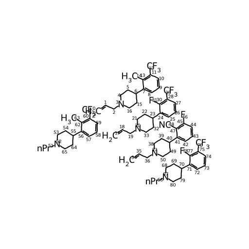 C=CCN1CCC(c2cccc(C(F)(F)F)c2C)CC1.C=CCN1CCC(c2cccc(C(F)(F)F)c2F)CC1.C=CCN1CCC(c2cccc(F)c2C#N)CC1.CCCN1CCC(c2cccc(C(F)(F)F)c2C)CC1.CCCN1CCC(c2cccc(C(F)(F)F)c2F)CC1